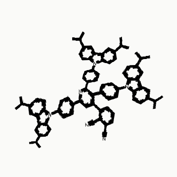 CC(C)c1ccc2c(c1)c1cc(C(C)C)ccc1n2-c1ccc(-c2cc(-c3cccc(C#N)c3C#N)c(-c3ccc(-n4c5ccc(C(C)C)cc5c5cc(C(C)C)ccc54)cc3)c(-c3ccc(-n4c5ccc(C(C)C)cc5c5cc(C(C)C)ccc54)cc3)n2)cc1